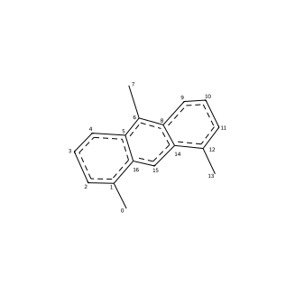 Cc1cccc2c(C)c3cccc(C)c3cc12